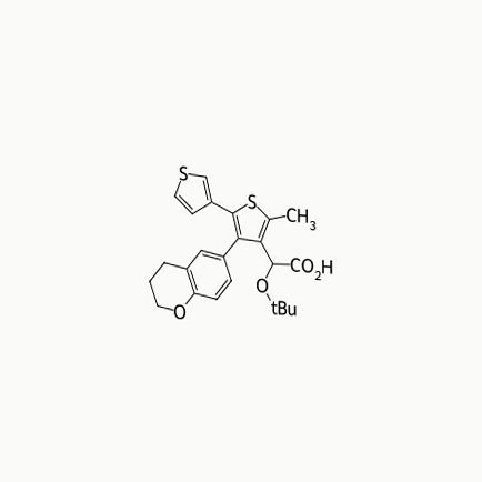 Cc1sc(-c2ccsc2)c(-c2ccc3c(c2)CCCO3)c1C(OC(C)(C)C)C(=O)O